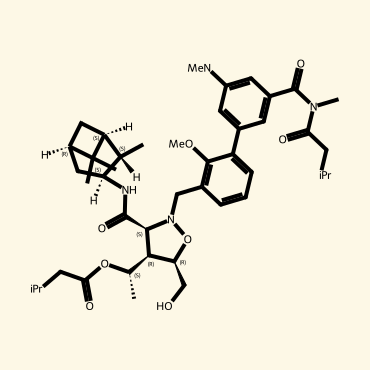 CNc1cc(C(=O)N(C)C(=O)CC(C)C)cc(-c2cccc(CN3O[C@@H](CO)[C@@H]([C@H](C)OC(=O)CC(C)C)[C@H]3C(=O)N[C@H]3C[C@H]4C[C@@H]([C@@H]3C)C4(C)C)c2OC)c1